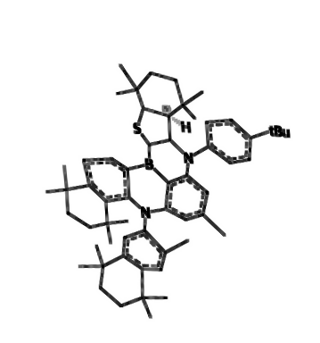 Cc1cc2c3c(c1)N(c1ccc(C(C)(C)C)cc1)C1C(SC4[C@H]1C(C)(C)CCC4(C)C)B3c1ccc3c(c1N2c1cc2c(cc1C)C(C)(C)CCC2(C)C)C(C)(C)CCC3(C)C